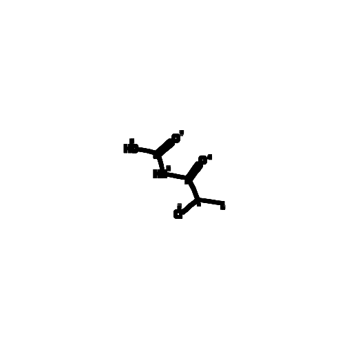 CC(Cl)C(=O)NC(=O)O